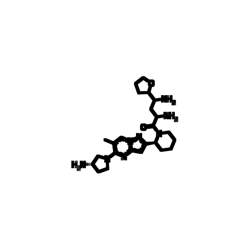 Cc1cn2nc([C@@H]3CCCCN3C(=O)C(N)CC(N)C3CCCO3)cc2nc1N1CC[C@H](N)C1